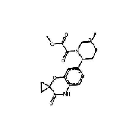 COC(=O)C(=O)N1C[C@@H](C)CCC1c1ccc2c(c1)OC1(CC1)C(=O)N2